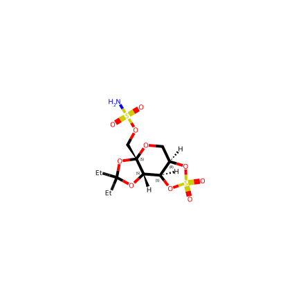 CCC1(CC)O[C@H]2[C@@H]3OS(=O)(=O)O[C@@H]3CO[C@@]2(COS(N)(=O)=O)O1